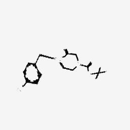 CC(C)(C)OC(=O)N1CCN(Cc2ccc(N)cc2)C(=O)C1